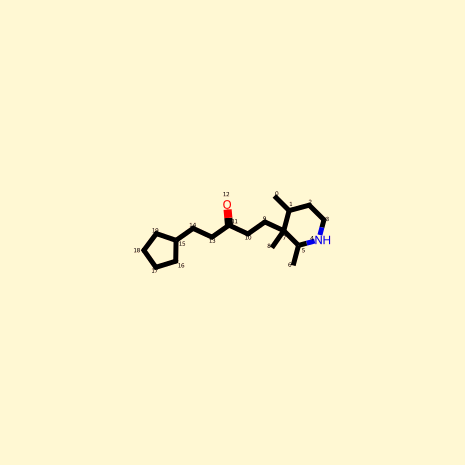 CC1CCNC(C)C1(C)CCC(=O)CCC1CCCC1